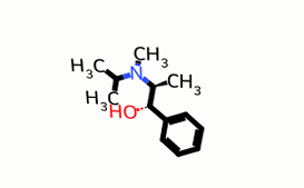 CC(C)N(C)[C@@H](C)[C@@H](O)c1ccccc1